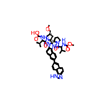 COC[C@H]1C[C@@H](C2([C@@H]3CCCN3C(=O)C(NC(=O)OC)C(C)C)Nc3ccc4cc(-c5ccc6c(ccc7nc[nH]c76)c5)ccc4c3N2)N(C(=O)C(NC(=O)O)C(C)C)C1